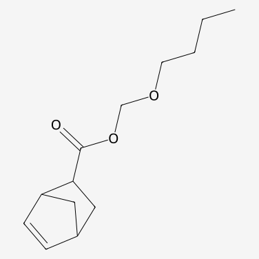 CCCCOCOC(=O)C1CC2C=CC1C2